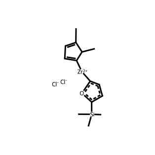 CC1=CC=[C]([Zr+2][c]2ccc([Si](C)(C)C)o2)C1C.[Cl-].[Cl-]